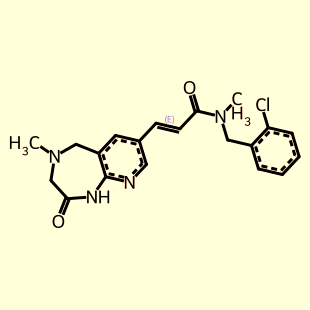 CN1CC(=O)Nc2ncc(/C=C/C(=O)N(C)Cc3ccccc3Cl)cc2C1